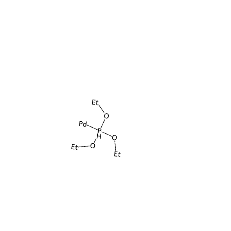 CCO[PH]([Pd])(OCC)OCC